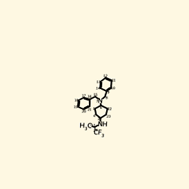 C[C@H](NC1CCC(N(Cc2ccccc2)Cc2ccccc2)CC1)C(F)(F)F